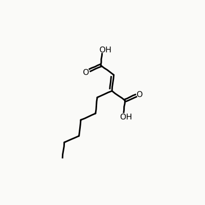 CCCCCC/C(=C\C(=O)O)C(=O)O